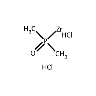 C[P](C)(=O)[Zr].Cl.Cl